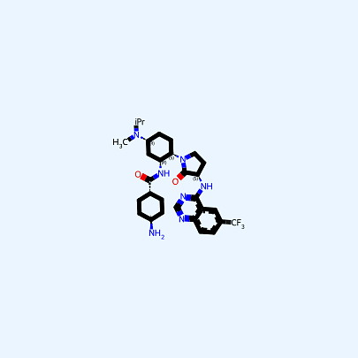 CC(C)N(C)[C@@H]1CC[C@H](N2CC[C@H](Nc3ncnc4ccc(C(F)(F)F)cc34)C2=O)[C@H](NC(=O)[C@H]2CC[C@H](N)CC2)C1